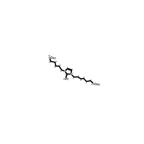 CCCCCCCCCCCCCCCCN1C=CN(CCCCCCCCCCCCCCC)C1C(C)C